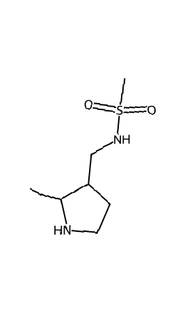 CC1NCCC1CNS(C)(=O)=O